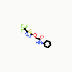 O=C(COc1nnc(C(F)(F)F)s1)Nc1ccccc1